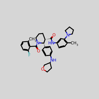 Cc1ccc(NC(=O)[C@H]2CCCN(C(=O)c3c(C)cccc3F)[C@H]2c2ccc(NC3CCOC3)cc2)cc1N1CCCC1